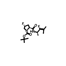 CC(C)=C(F)[C@@H](C)NC(=O)[C@@H]1C[C@@H](F)CN1C(=O)OC(C)(C)C